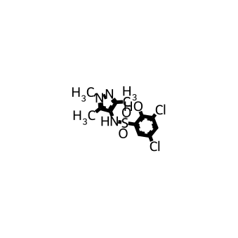 Cc1nn(C)c(C)c1NS(=O)(=O)c1cc(Cl)cc(Cl)c1O